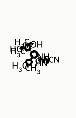 CC1(C)CC=C(C2=CC([C@H]3C[C@](C)(CO)O[C@](C)(CO)C3)=CC=C(NC(=O)c3nc(C#N)c[nH]3)C2)CC1